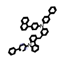 C=C(/C=C\C(=C/C)n1c2ccccc2c2c(Cc3cccc(N(c4ccc(-c5ccccc5)cc4)c4ccc(-c5cccc6ccccc56)cc4)c3)cccc21)c1ccccc1